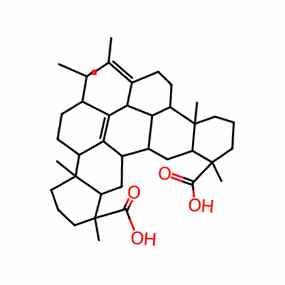 CC(C)=C1CCC2C3C1C1=C4C(CC5C(C)(C(=O)O)CCCC5(C)C4CCC1C(C)C)C3CC1C(C)(C(=O)O)CCCC21C